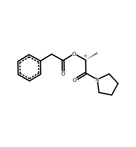 C[C@@H](OC(=O)Cc1ccccc1)C(=O)N1CCCC1